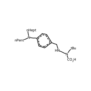 CCCCCCCN(CCCCC)c1ccc(CNN(C(=O)O)C(C)(C)C)cc1